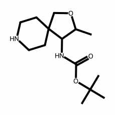 CC1OCC2(CCNCC2)C1NC(=O)OC(C)(C)C